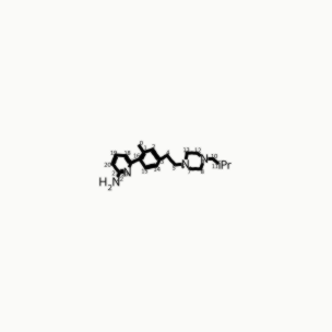 Cc1cc(CCN2CCN(CC(C)C)CC2)ccc1-c1cccc(N)n1